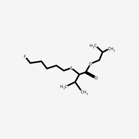 CC(C)COC(=O)C(SCCCCCF)C(C)C